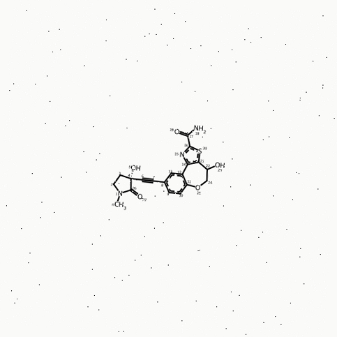 CN1CC[C@@](O)(C#Cc2ccc3c(c2)-c2nc(C(N)=O)sc2C(O)CO3)C1=O